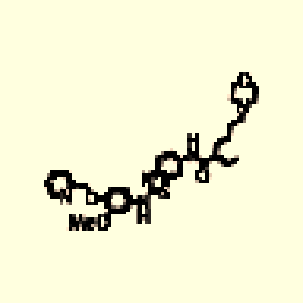 C/C=C(\CCCCN1CCOCC1)C(=O)Nc1ccc2nc(Nc3ccc(OCc4ccccn4)c(OC)c3)sc2c1